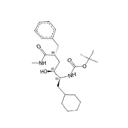 CNC(=O)[C@H](Cc1ccccc1)C[C@H](O)[C@H](CC1CCCCC1)NC(=O)OC(C)(C)C